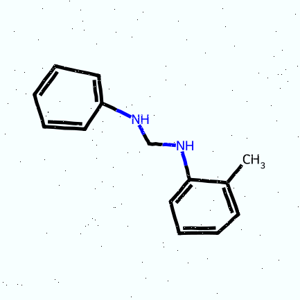 Cc1ccccc1NCNc1ccccc1